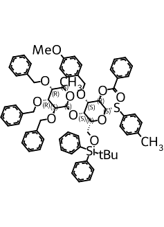 COc1ccc(CO[C@H]2[C@@H](O[C@@H]3O[C@@H](C)[C@@H](OCc4ccccc4)[C@@H](OCc4ccccc4)[C@@H]3OCc3ccccc3)[C@@H](CO[Si](c3ccccc3)(c3ccccc3)C(C)(C)C)O[C@@H](Sc3ccc(C)cc3)[C@@H]2OC(=O)c2ccccc2)cc1